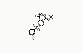 CC(C)(C)OC(=O)N1CCN(S(=O)(=O)c2cccc(Cl)c2)CC1C(=O)O